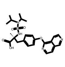 CC(C)N(C(C)C)S(=O)(=O)N[C@@](C)(Cc1ccc(Oc2nccc3cnccc23)cc1)C(=O)O